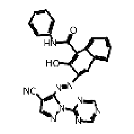 N#Cc1cnn(-c2ncncn2)c1/N=N/c1cc2ccccc2c(C(=O)Nc2ccccc2)c1O